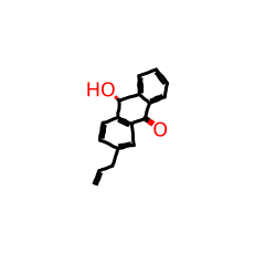 C=CCc1ccc2c(c1)C(=O)c1ccccc1C2O